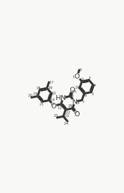 COc1cccc(Cn2c(=O)[nH]c(Oc3cc(C)cc(C)c3)c(C(C)C)c2=O)c1